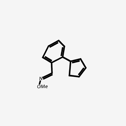 CON=Cc1ccccc1C1=CC=CC1